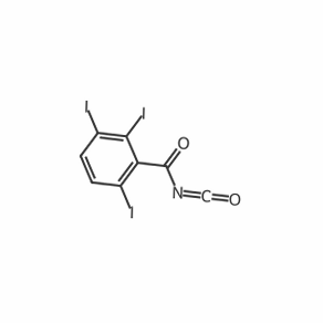 O=C=NC(=O)c1c(I)ccc(I)c1I